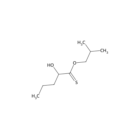 CCCC(O)C(=S)OCC(C)C